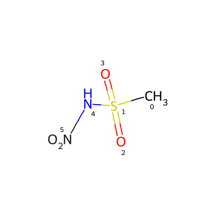 CS(=O)(=O)N[N+](=O)[O-]